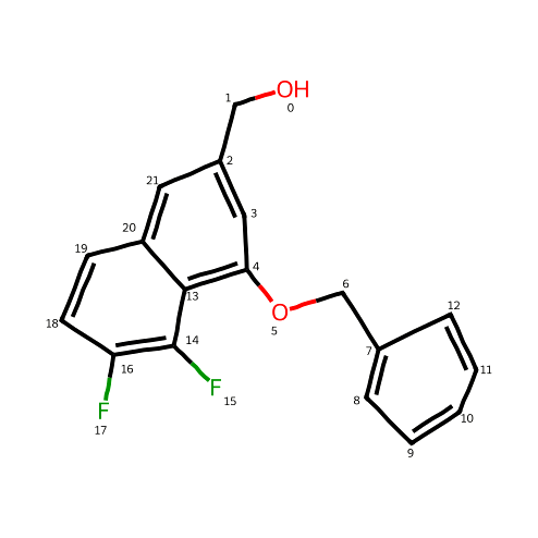 OCc1cc(OCc2ccccc2)c2c(F)c(F)ccc2c1